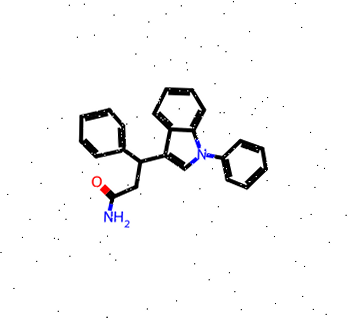 NC(=O)CC(c1ccccc1)c1cn(-c2ccccc2)c2ccccc12